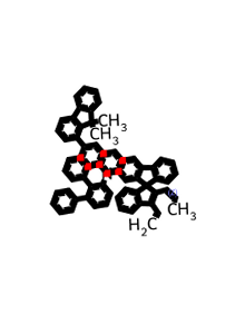 C=CC1=C(/C=C\C)C2(c3ccccc31)c1ccccc1-c1ccc(N(c3ccc(-c4cccc5c4C(C)(C)c4ccccc4-5)cc3)c3cccc(-c4ccccc4)c3-c3ccccc3-c3ccccc3)cc12